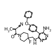 C=C(C#N)C(=O)N1CCC(F)(CNc2ncnc(N)c2-c2ccc(Oc3ccccc3)cc2)CC1